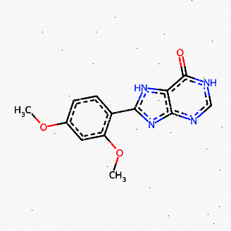 COc1ccc(-c2nc3nc[nH]c(=O)c3[nH]2)c(OC)c1